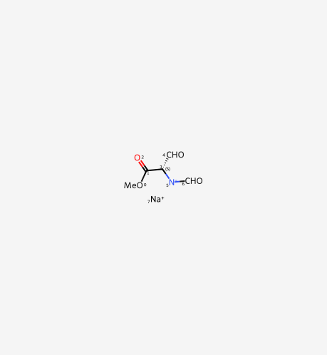 COC(=O)[C@H](C=O)[N-]C=O.[Na+]